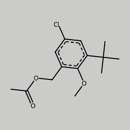 COc1c(COC(C)=O)cc(Cl)cc1C(C)(C)C